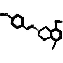 COc1ccc(/C=N/[C@H]2COc3c(F)ccc(OC)c3C2)cc1